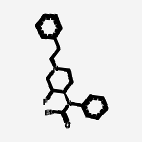 CCC(=O)N(c1ccccc1)[C@@H]1CCN(CCc2ccccc2)CC1F